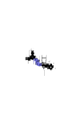 N/C(=N\N/C=C\C(=O)NNC(=O)CN1CCOCC1=O)c1cc(C(F)(F)F)cc(C(F)(F)F)c1